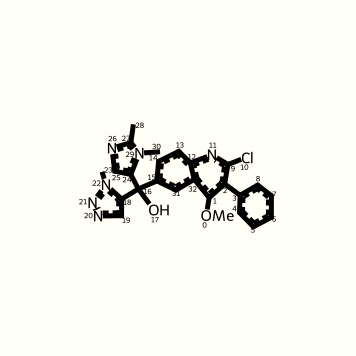 COc1c(-c2ccccc2)c(Cl)nc2ccc(C(O)(c3cnnn3C)c3cnc(C)n3C)cc12